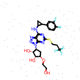 OCCO[C@@H]1C[C@H](n2nnc3c(NC4CC4c4ccc(F)c(F)c4)nc(SCCC(F)(F)F)nc32)[C@@H](O)[C@H]1O